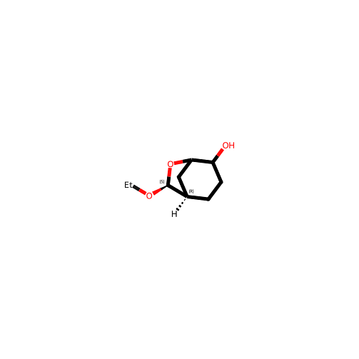 CCO[C@H]1OC2C[C@H]1CCC2O